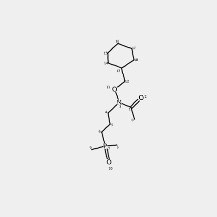 CC(=O)N(CCCP(C)(C)=O)OCC1CCCCC1